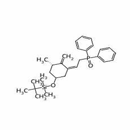 C=C1/C(=C\CP(=O)(c2ccccc2)c2ccccc2)CC(O[Si](C)(C)C(C)(C)C)C[C@@H]1C